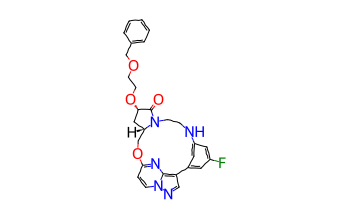 O=C1[C@H](OCCOCc2ccccc2)C[C@H]2COc3ccn4ncc(c4n3)-c3cc(F)cc(c3)NCCN12